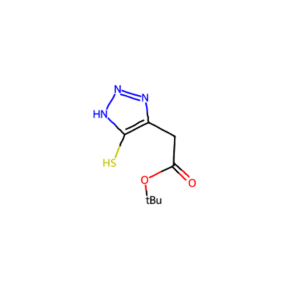 CC(C)(C)OC(=O)Cc1nn[nH]c1S